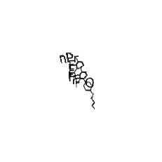 C/C=C/CCC1=CCC(c2ccc3c(c2F)C(F)(F)C(F)(F)c2c-3ccc(CCC)c2F)OC1